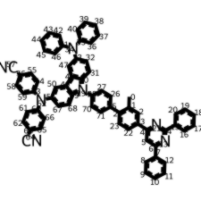 Cc1cc(-c2cc(-c3ccccc3)nc(-c3ccccc3)n2)ccc1-c1ccc(-n2c3ccc(N(c4ccccc4)c4ccccc4)cc3c3cc(N(c4ccc(C#N)cc4)c4ccc(C#N)cc4)ccc32)cc1